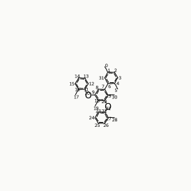 Cc1ccc(C)c(-c2cc(Oc3ccccc3C)c(C)c(Oc3ccccc3C)c2C)c1